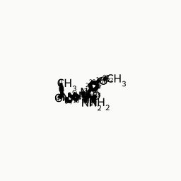 CC#CC(=O)N1CC[C@]2(C1)C[C@H](n1nc(-c3ccc(COCC)cc3)c(C(N)=O)c1N)C2